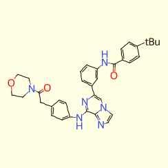 CC(C)(C)c1ccc(C(=O)Nc2cccc(-c3cn4ccnc4c(Nc4ccc(CC(=O)N5CCOCC5)cc4)n3)c2)cc1